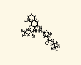 CN1CCCc2cc(N=Nc3nnc(C(=O)OC(F)(F)C(F)(F)F)s3)c(NS(=O)(=O)CC(F)(F)F)cc21